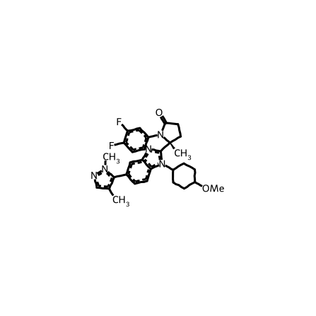 COC1CCC(n2c([C@@]3(C)CCC(=O)N3c3ccc(F)c(F)c3)nc3cc(-c4c(C)cnn4C)ccc32)CC1